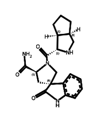 NC(=O)[C@@H]1C[C@@]2(CN1C(=O)[C@H]1NC[C@@H]3CCC[C@@H]31)C(=O)Nc1ccccc12